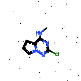 CNc1nc(Cl)nn2cccc12